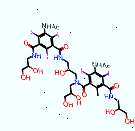 CC(=O)Nc1c(I)c(C(=O)NCC(O)CO)c(C)c(C(=O)N(CC(O)CO)CC(O)CNC(=O)c2c(I)c(NC(C)=O)c(I)c(C(=O)NCC(O)CO)c2I)c1I